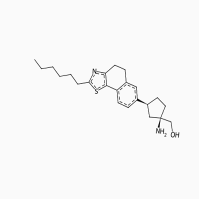 CCCCCCc1nc2c(s1)-c1ccc([C@H]3CC[C@](N)(CO)C3)cc1CC2